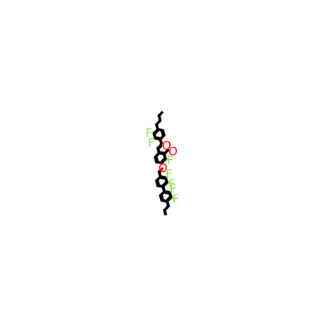 CCCCc1ccc(-c2cc3ccc(OCc4ccc(-c5ccc(CCC)c(F)c5F)c(F)c4F)c(F)c3c(=O)o2)c(F)c1F